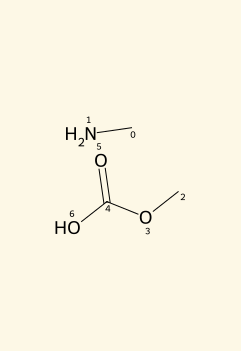 CN.COC(=O)O